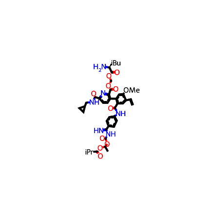 C=Cc1cc(C(=O)Nc2ccc(C(=N)NC(=O)OC(C)OC(=O)C(C)C)cc2)c(-c2ccc(C(=O)NCC3CC3)nc2C(=O)OCOC(=O)[C@@H](N)C(C)CC)cc1OC